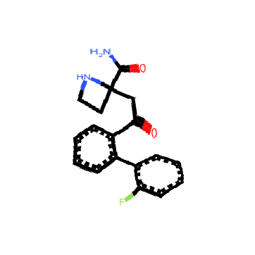 NC(=O)C1([CH]C(=O)c2ccccc2-c2ccccc2F)CCN1